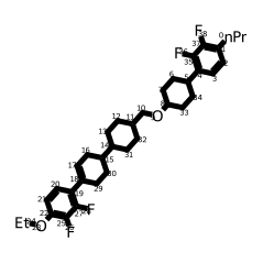 CCCc1ccc(C2CCC(OCC3CCC(C4CC=C(c5ccc(OCC)c(F)c5F)CC4)CC3)CC2)c(F)c1F